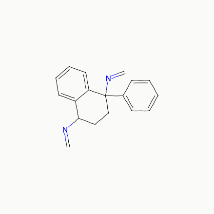 C=NC1CCC(N=C)(c2ccccc2)c2ccccc21